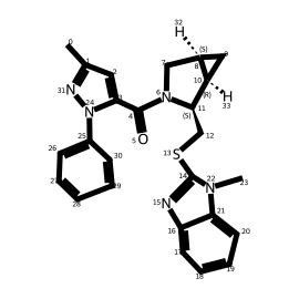 Cc1cc(C(=O)N2C[C@H]3C[C@H]3[C@H]2CSc2nc3ccccc3n2C)n(-c2ccccc2)n1